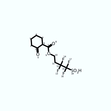 O=C1CCCCC1C(=O)OCCC(F)(F)C(F)(F)S(=O)(=O)O